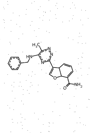 Cc1nnc(C2=COC3C(C(N)=O)=CC=CC23)nc1NCc1ccccc1